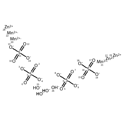 O=S(=O)([O-])[O-].O=S(=O)([O-])[O-].O=S(=O)([O-])[O-].O=S(=O)([O-])[O-].[Mn+2].[Mn+2].[Mn+2].[OH-].[OH-].[OH-].[OH-].[Zn+2].[Zn+2].[Zn+2]